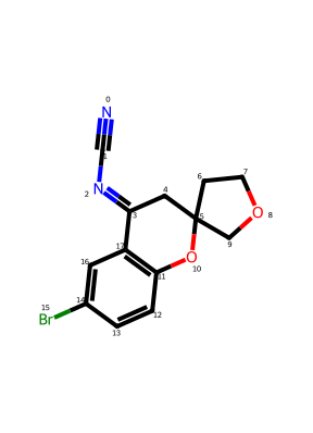 N#CN=C1CC2(CCOC2)Oc2ccc(Br)cc21